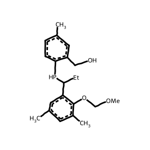 CCC(Pc1ccc(C)cc1CO)c1cc(C)cc(C)c1OCOC